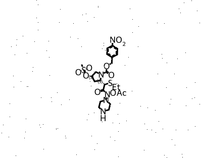 CCSC(C(=O)N(OC(C)=O)N1CCNCC1)[C@@H]1C[C@H](OS(C)(=O)=O)CN1C(=O)OCc1ccc([N+](=O)[O-])cc1